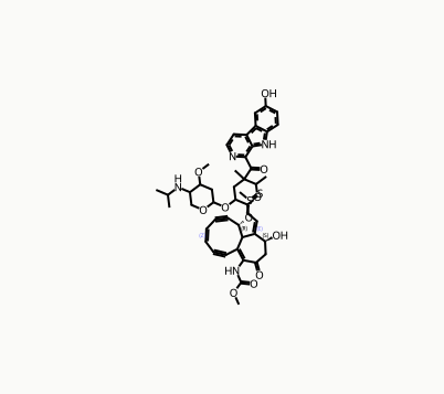 COC(=O)NC1=C2C#C/C=C\C#C[C@H](OC3OC(C)C(C)(C(=O)c4nccc5c4[nH]c4ccc(O)cc45)CC3OC3CC(OC)C(NC(C)C)CO3)C2/C(=C\CS(C)=S)[C@@H](O)CC1=O